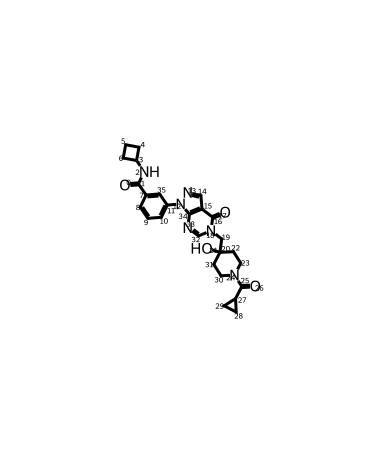 O=C(NC1CCC1)c1cccc(-n2ncc3c(=O)n(CC4(O)CCN(C(=O)C5CC5)CC4)cnc32)c1